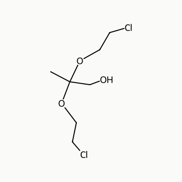 CC(CO)(OCCCl)OCCCl